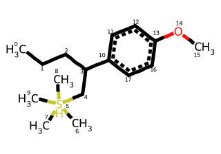 CCCC(C[SH](C)(C)(C)C)c1ccc(OC)cc1